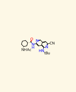 CC(=O)N[C@@H]1CCC[C@H](C(=O)Nc2cc3c(NC(C)(C)C)nc(C#N)cc3cn2)C1